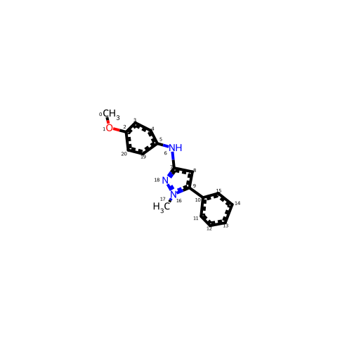 COc1ccc(Nc2cc(-c3ccccc3)n(C)n2)cc1